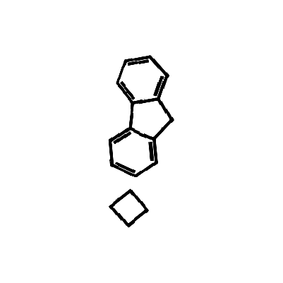 C1CCC1.c1ccc2c(c1)Cc1ccccc1-2